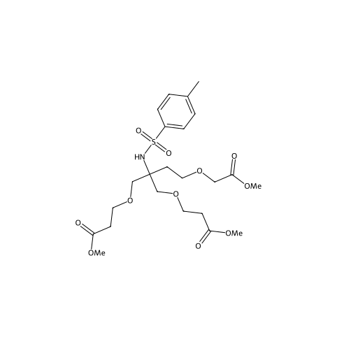 COC(=O)CCOCC(CCOCC(=O)OC)(COCCC(=O)OC)NS(=O)(=O)c1ccc(C)cc1